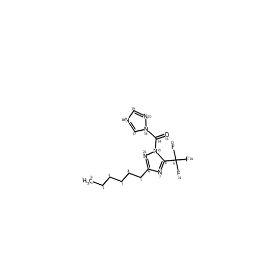 CCCCCCc1nc(C(F)(F)F)n(C(=O)n2cncn2)n1